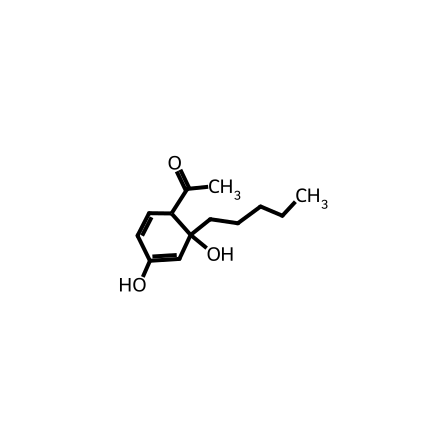 CCCCCC1(O)C=C(O)C=CC1C(C)=O